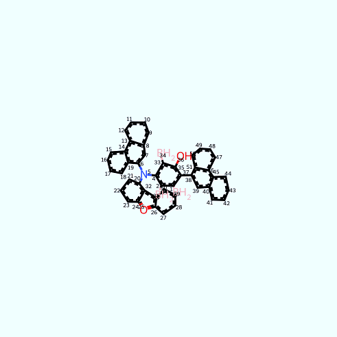 Bc1c(B)c(N(c2cc3ccccc3c3ccccc23)c2cccc3oc4ccccc4c23)c(B)c(O)c1-c1cc2ccccc2c2ccccc12